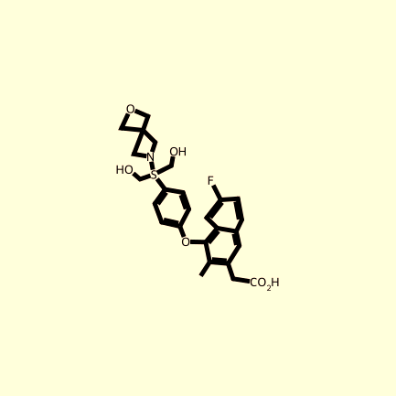 Cc1c(CC(=O)O)cc2ccc(F)cc2c1Oc1ccc(S(CO)(CO)N2CC3(COC3)C2)cc1